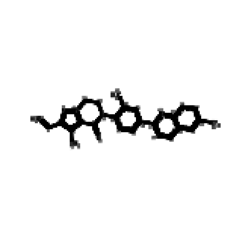 C=Cc1nn2c(c1C)C(=O)N(c1ccc(-c3ncc4cc(C(F)(F)F)ccc4n3)cc1C)CC2